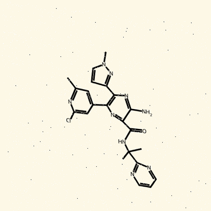 Cc1cc(-c2nc(C(=O)NC(C)(C)c3ncccn3)c(N)nc2-c2ccn(C)n2)cc(Cl)n1